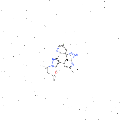 Cc1cc(-c2c(-c3ccc(F)cn3)nn3c2O[C@@H](C)C[C@@H]3C)c2cn[nH]c2n1